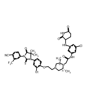 CCc1cc(N2C(=S)N(c3ccc(C#N)c(C(F)(F)F)c3)C(=O)C2(C)C)ccc1OCCN1C[C@@H](C)N(CC(=O)Nc2cc(Cl)cc(NC3CCC(=O)NC3=O)c2)[C@H](C)C1